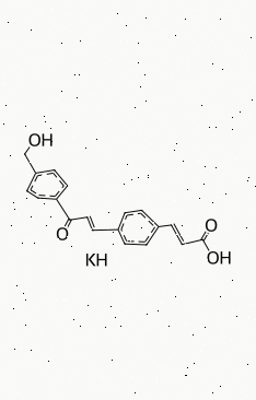 O=C(O)C=Cc1ccc(C=CC(=O)c2ccc(CO)cc2)cc1.[KH]